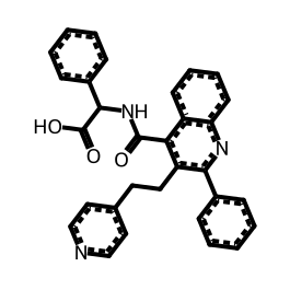 O=C(NC(C(=O)O)c1ccccc1)c1c(CCc2ccncc2)c(-c2ccccc2)nc2ccccc12